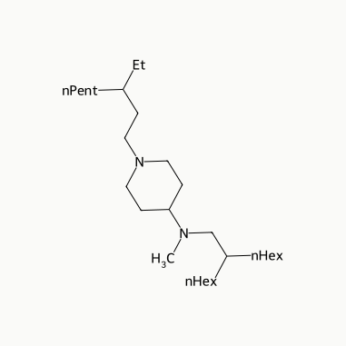 CCCCCCC(CCCCCC)CN(C)C1CCN(CCC(CC)CCCCC)CC1